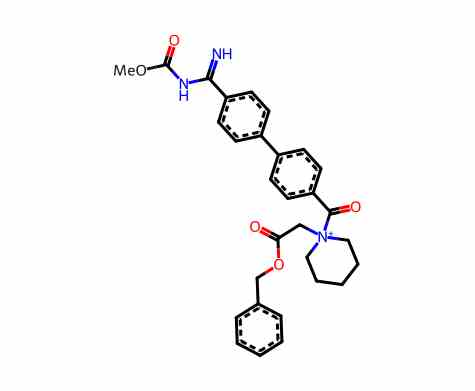 COC(=O)NC(=N)c1ccc(-c2ccc(C(=O)[N+]3(CC(=O)OCc4ccccc4)CCCCC3)cc2)cc1